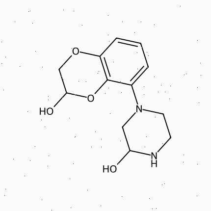 OC1CN(c2cccc3c2OC(O)CO3)CCN1